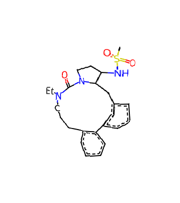 CCN1CCCc2ccccc2-c2cccc(c2)CC2C(NS(C)(=O)=O)CCN2C1=O